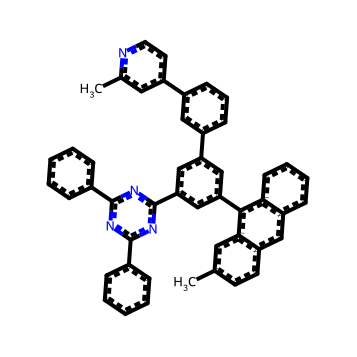 Cc1ccc2cc3ccccc3c(-c3cc(-c4cccc(-c5ccnc(C)c5)c4)cc(-c4nc(-c5ccccc5)nc(-c5ccccc5)n4)c3)c2c1